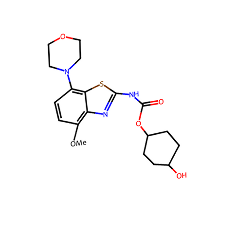 COc1ccc(N2CCOCC2)c2sc(NC(=O)OC3CCC(O)CC3)nc12